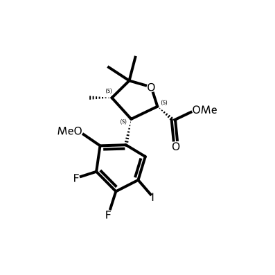 COC(=O)[C@H]1OC(C)(C)[C@@H](C)[C@H]1c1cc(I)c(F)c(F)c1OC